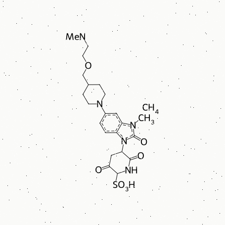 C.CNCCOCC1CCN(c2ccc3c(c2)n(C)c(=O)n3C2CC(=O)C(S(=O)(=O)O)NC2=O)CC1